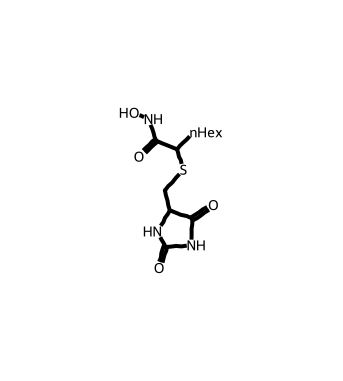 CCCCCCC(SCC1NC(=O)NC1=O)C(=O)NO